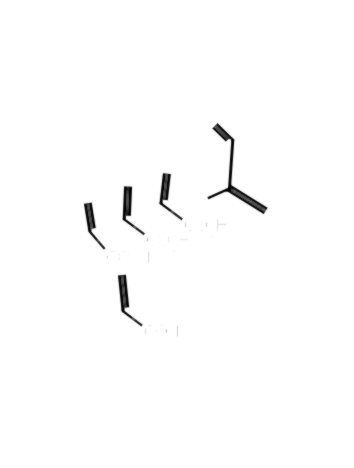 C=CC(=C)C.C=CC(=O)O.C=CC(=O)O.C=CC(=O)O.C=CC(=O)O